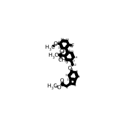 COC(=O)CC1Cc2ccc(OCc3ccc(-c4cc(OC)ccc4F)c(C(C)(C)C)c3)cc21